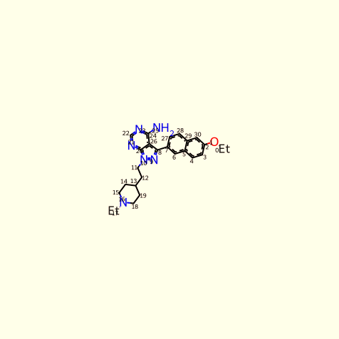 CCOc1ccc2cc(-c3nn(CCC4CCN(CC)CC4)c4ncnc(N)c34)ccc2c1